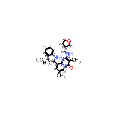 Cc1cc([C@@H](C)Nc2ccccc2C(=O)O)c2nc(NC[C@@H]3CCOC3)c(C)c(=O)n2c1